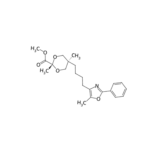 COC(=O)[C@]1(C)OC[C@@](C)(CCCCc2nc(-c3ccccc3)oc2C)CO1